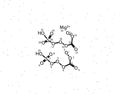 O=C(O[O-])OOOS(=O)(=O)O.O=C(O[O-])OOOS(=O)(=O)O.[Mg+2]